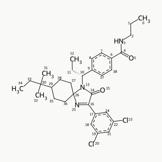 CCCNC(=O)c1ccc([C@@H](CC)N2C(=O)C(c3cc(Cl)cc(Cl)c3)=NC23CCC(C(C)(C)CC)CC3)cc1